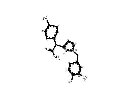 CC(C)c1ccc(C(C(N)=O)c2cnn(Cc3ccc(F)c(C#N)c3)n2)cc1